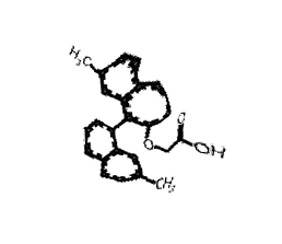 Cc1ccc2cccc(-c3c(OCC(=O)O)ccc4ccc(C)cc34)c2c1